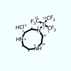 Cl.F[C](F)(F)[Ti]([N]1CCNCCNCC1)([C](F)(F)F)[C](F)(F)F